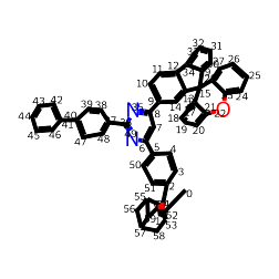 CC1(c2ccc(-c3cc(-c4ccc5c(c4)C4(c6ccccc6Oc6ccccc64)c4ccccc4-5)nc(-c4ccc(-c5ccccc5)cc4)n3)cc2)CC2CC3CC(C2)C3C1